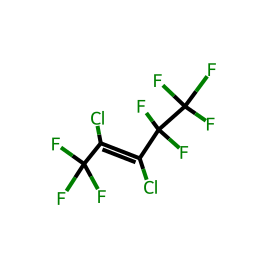 FC(F)(F)C(Cl)=C(Cl)C(F)(F)C(F)(F)F